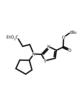 CCOC(=O)CCN(c1nc(C(=O)OC(C)(C)C)cs1)C1CCCC1